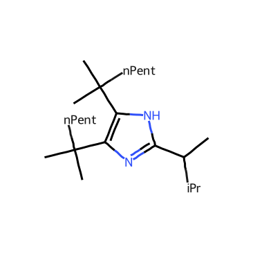 CCCCCC(C)(C)c1nc(C(C)C(C)C)[nH]c1C(C)(C)CCCCC